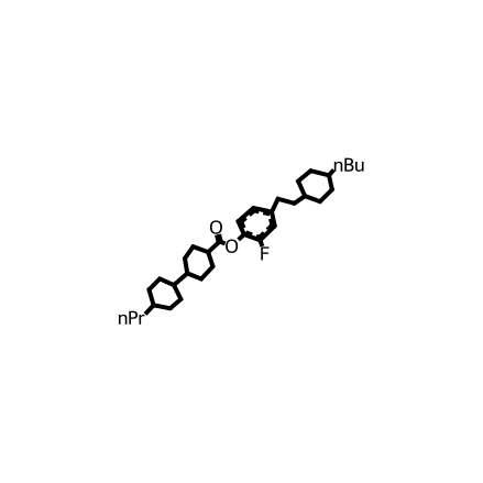 CCCCC1CCC(CCc2ccc(OC(=O)C3CCC(C4CCC(CCC)CC4)CC3)c(F)c2)CC1